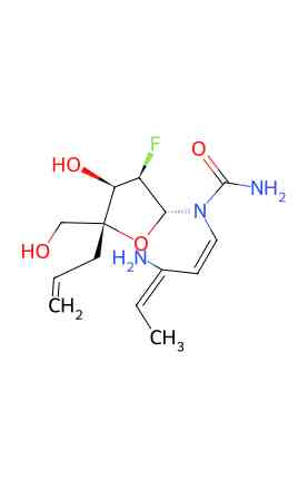 C=CC[C@]1(CO)O[C@@H](N(/C=C\C(N)=C/C)C(N)=O)[C@H](F)[C@@H]1O